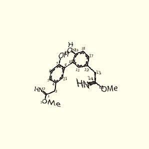 COC(=N)Cc1ccc(O)c(-c2cc(CC(=N)OC)ccc2O)c1